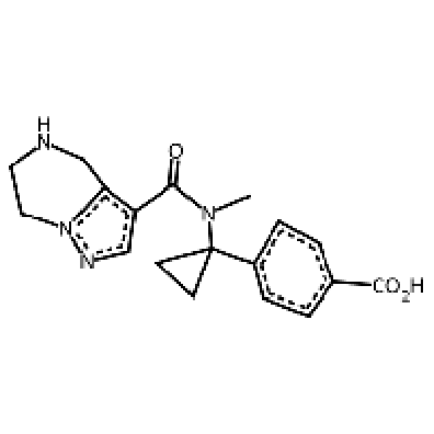 CN(C(=O)c1cnn2c1CNCC2)C1(c2ccc(C(=O)O)cc2)CC1